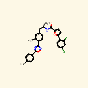 Cc1ccc(-c2nc(-c3ccc(CC(NC(=O)c4ccc(-c5ccc(Cl)cc5F)o4)C(=O)O)cc3C)no2)cc1